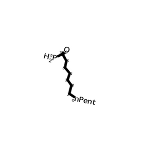 CCCCCCCCCCCC(=O)P